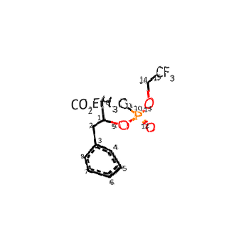 CCOC(=O)C(Cc1ccccc1)OP(C)(=O)OCC(F)(F)F